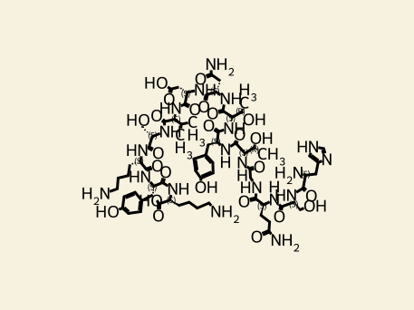 CC(C)[C@H](NC(=O)[C@H](CC(=O)O)NC(=O)[C@H](CC(N)=O)NC(=O)[C@@H](NC(=O)[C@H](Cc1ccc(O)cc1)NC(=O)[C@@H](NC(=O)CNC(=O)[C@H](CCC(N)=O)NC(=O)[C@H](CO)NC(=O)[C@@H](N)Cc1c[nH]cn1)[C@@H](C)O)[C@@H](C)O)C(=O)N[C@@H](CO)C(=O)N[C@@H](CCCCN)C(=O)N[C@@H](Cc1ccc(O)cc1)C(=O)N[C@@H](CCCCN)C(=O)O